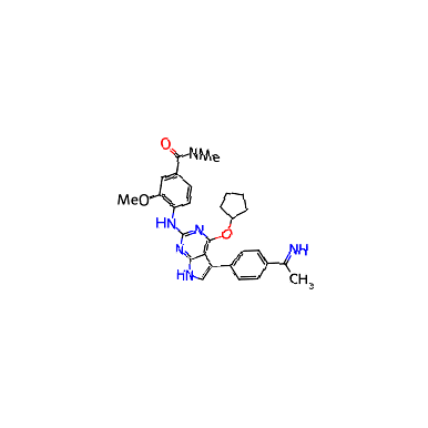 CNC(=O)c1ccc(Nc2nc(OC3CCCC3)c3c(-c4ccc(C(C)=N)cc4)c[nH]c3n2)c(OC)c1